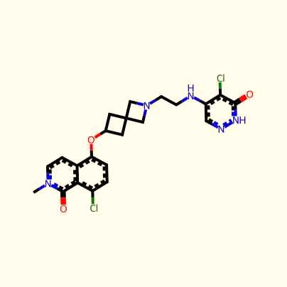 Cn1ccc2c(OC3CC4(C3)CN(CCNc3cn[nH]c(=O)c3Cl)C4)ccc(Cl)c2c1=O